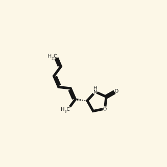 C=C/C=C\C=C(/C)[C@H]1COC(=O)N1